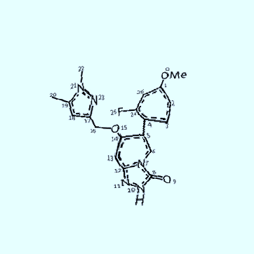 COc1ccc(-c2cn3c(=O)[nH]nc3cc2OCc2cc(C)n(C)n2)c(F)c1